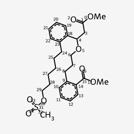 COC(=O)CC(OCCCc1ccccc1C(=O)OC)c1ccccc1CCCCCCOS(C)(=O)=O